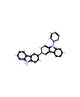 C1=CCC(n2c3c(c4ccccc42)=CC(c2ccc4[nH]c5ccccc5c4c2)CC=3)C=C1